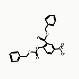 O=C(OCc1ccccc1)Oc1ccc([N+](=O)[O-])cc1C(=O)OCc1ccccc1